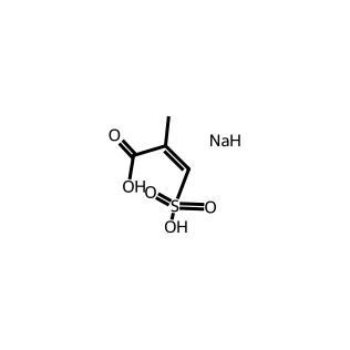 CC(=CS(=O)(=O)O)C(=O)O.[NaH]